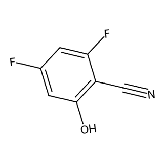 N#Cc1c(O)cc(F)cc1F